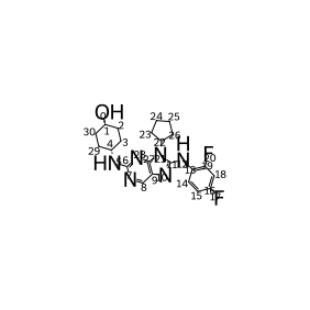 O[C@H]1CC[C@H](Nc2ncc3nc(Nc4ccc(F)cc4F)n(C4CCCC4)c3n2)CC1